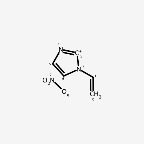 C=CN1[C+]=NC=C1.O=[N+]([O-])[O-]